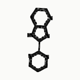 c1cnc(-c2nc3ncccc3[nH]2)nc1